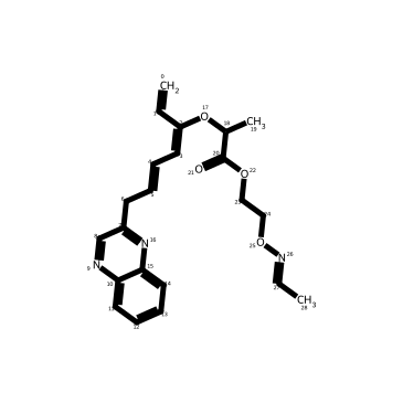 C=C/C(=C\C=C\Cc1cnc2ccccc2n1)OC(C)C(=O)OCCON=CC